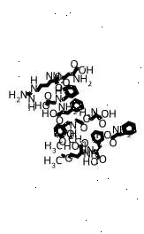 CCOCCC(NN[C@@H](CC1CCCCC1)C(=O)O)C(=O)O.COc1cccc(CNCC(=O)OC[C@@H](N)C(=O)O)c1OC.N=C(N)NCCC[C@@H](N)C(=O)OC(=O)C[C@H](N)C(=O)O.N[C@@H](Cc1ccccc1)C(=O)O.N[C@H](Cc1ccccc1)C(=O)O.O=C(O)CNCc1ccccc1